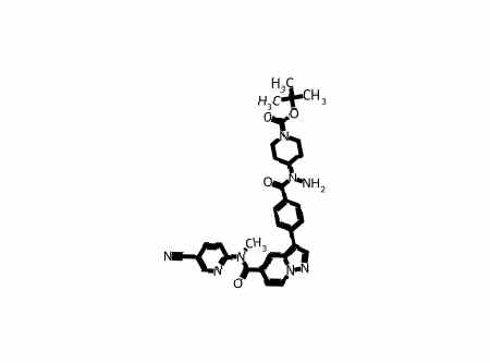 CN(C(=O)c1ccn2ncc(-c3ccc(C(=O)N(N)C4CCN(C(=O)OC(C)(C)C)CC4)cc3)c2c1)c1ccc(C#N)cn1